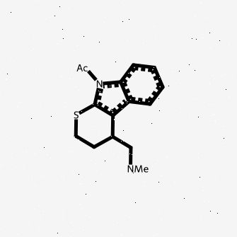 CNCC1CCSc2c1c1ccccc1n2C(C)=O